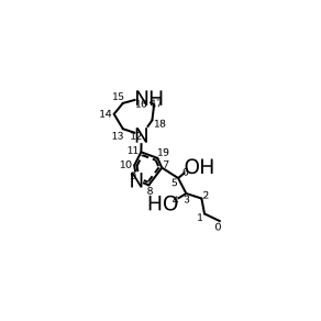 CCCC(O)C(O)c1cncc(N2CCCNCC2)c1